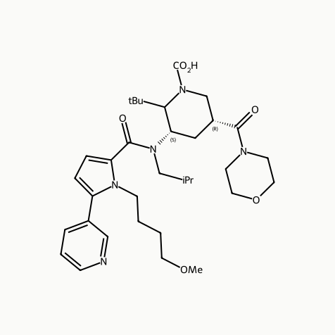 COCCCCn1c(C(=O)N(CC(C)C)[C@H]2C[C@@H](C(=O)N3CCOCC3)CN(C(=O)O)C2C(C)(C)C)ccc1-c1cccnc1